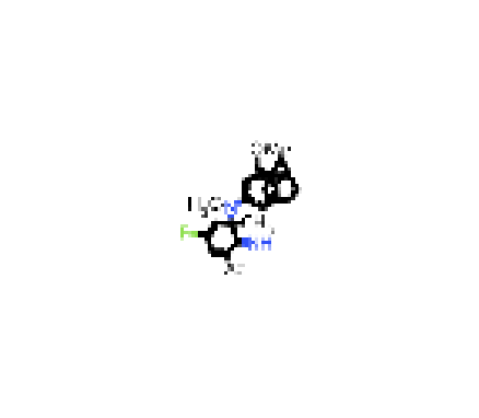 COCC12CCCCC1(c1ccc(N(C)C3(C)C=C(F)C=C(C(C)=O)C3=N)cc1)C2